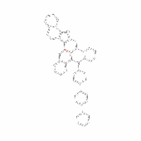 c1ccc(-c2ccc(-c3ccc(N(c4ccccc4-c4ccc5c(c4)oc4c6ccccc6ccc54)c4cccc5ccccc45)cc3)cc2)cc1